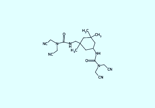 CC1(C)CC(NC(=O)N(CC#N)CC#N)CC(C)(CNC(=O)N(CC#N)CC#N)C1